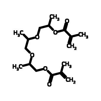 C=C(C)C(=O)OCC(C)OCC(C)OCC(C)OC(=O)C(=C)C